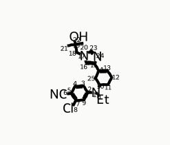 CCN(c1ccc(C#N)c(Cl)c1)C1CCC=C(c2cn(CC(C)(C)O)cn2)C1